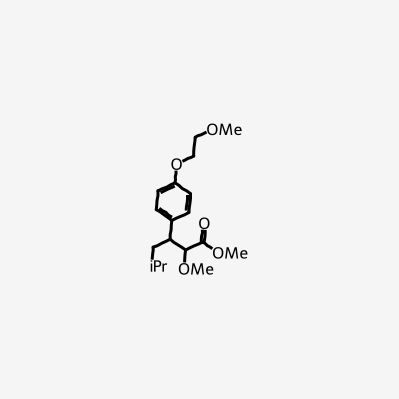 COCCOc1ccc(C(CC(C)C)C(OC)C(=O)OC)cc1